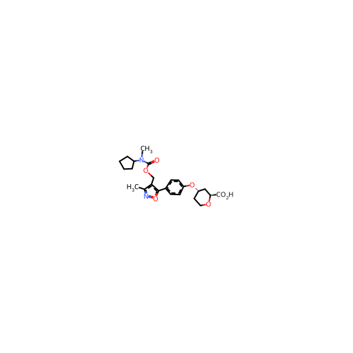 Cc1noc(-c2ccc(O[C@H]3CCO[C@H](C(=O)O)C3)cc2)c1COC(=O)N(C)C1CCCC1